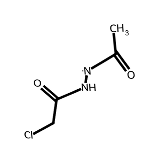 CC(=O)[N]NC(=O)CCl